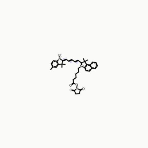 CCN1/C(=C/C=C/C=C/C2=[N+](CCCCCC(=O)ON3C(=O)CCC3=O)c3ccc4ccccc4c3C2(C)C)C(C)(C)c2cc(C)ccc21